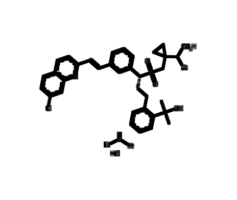 CCC(C(=O)O)C1(CS(=O)(=O)[C@H](CCc2ccccc2C(C)(C)O)c2cccc(C=Cc3ccc4ccc(Cl)cc4n3)c2)CC1.CCNCC.Cl